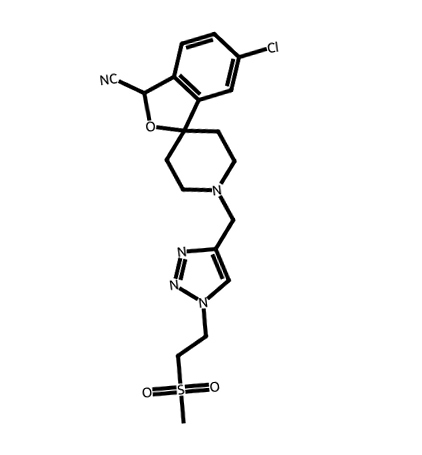 CS(=O)(=O)CCn1cc(CN2CCC3(CC2)OC(C#N)c2ccc(Cl)cc23)nn1